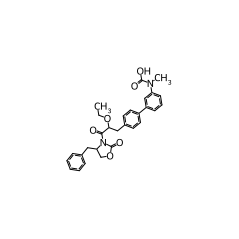 CCOC(Cc1ccc(-c2cccc(N(C)C(=O)O)c2)cc1)C(=O)N1C(=O)OCC1Cc1ccccc1